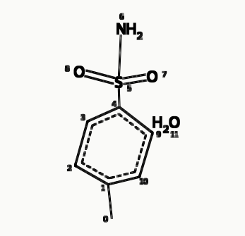 Cc1ccc(S(N)(=O)=O)cc1.O